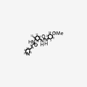 COc1ccc(NC(=O)Nc2ccc(C)c(NC(=O)/C=C/c3cccnc3)c2)cc1